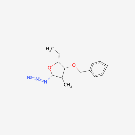 CC[C@H]1O[C@@H](N=[N+]=[N-])C(C)[C@H]1OCc1ccccc1